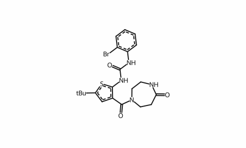 CC(C)(C)c1cc(C(=O)N2CCNC(=O)CC2)c(NC(=O)Nc2ccccc2Br)s1